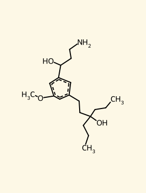 CCCC(O)(CCC)CCc1cc(OC)cc(C(O)CCN)c1